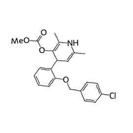 COC(=O)OC1=C(C)NC(C)=CC1c1ccccc1OCc1ccc(Cl)cc1